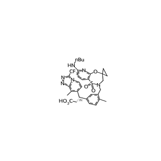 CCCCNc1ccc2c(n1)OC1(CC1)CN(Cc1cc([C@H](CC(=O)O)c3ccn4c(C(F)(F)F)nnc4c3C)ccc1C)S2(=O)=O